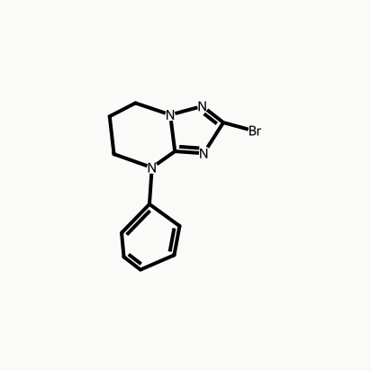 Brc1nc2n(n1)CCCN2c1ccccc1